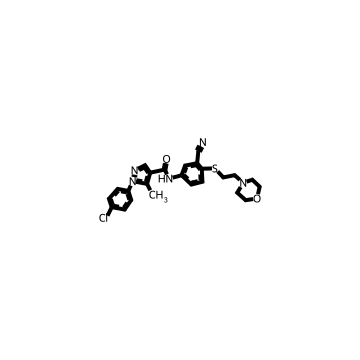 Cc1c(C(=O)Nc2ccc(SCCN3CCOCC3)c(C#N)c2)cnn1-c1ccc(Cl)cc1